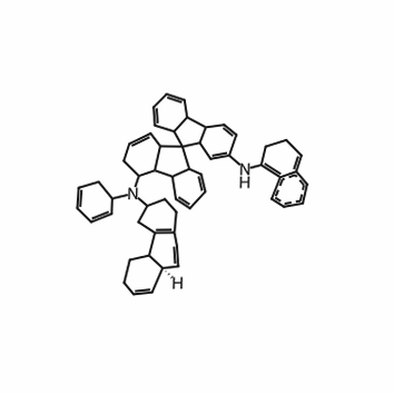 C1=CCC(N(C2CCC3=C(C2)C2CCC=C[C@@H]2C=C3)C2CC=CC3C2C2C=CC=CC2C32C3C=CC=CC3C3C=CC(NC4=c5ccccc5=CCC4)=CC32)C=C1